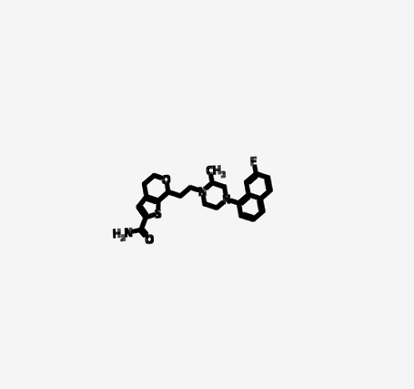 CC1CN(c2cccc3ccc(F)cc23)CCN1CCC1OCCc2cc(C(N)=O)sc21